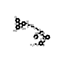 CCOc1cc(F)c(Cn2nc(-c3ncc(OCCOCCNC(=S)Nc4ccc(-c5c6ccc(=O)cc-6oc6cc(O)ccc56)c(C(=O)O)c4)c(Nc4ccncc4)n3)c3ccccc32)c(F)c1